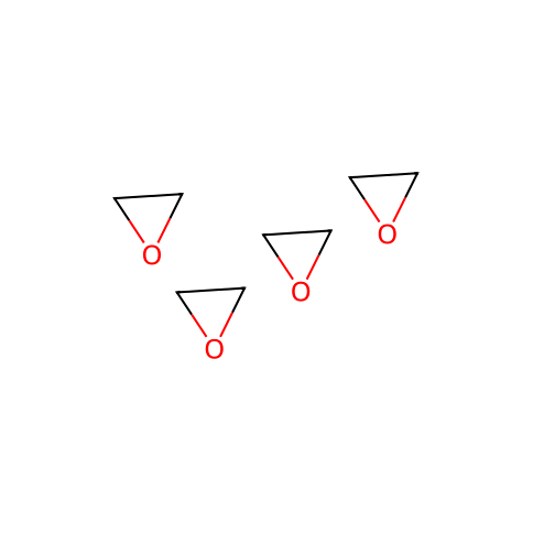 C1CO1.C1CO1.C1CO1.C1CO1